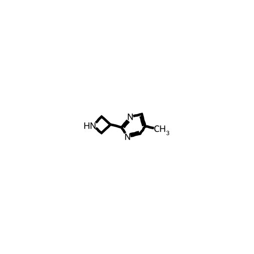 Cc1cnc(C2CNC2)nc1